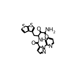 NC(=O)C(=O)C(Cc1csc2sccc12)NC(=O)c1ccnn1-c1ccccn1